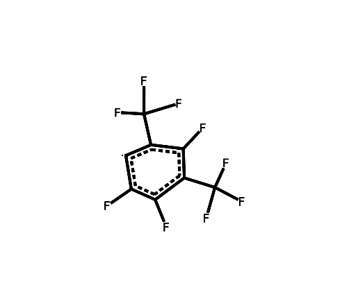 Fc1[c]c(C(F)(F)F)c(F)c(C(F)(F)F)c1F